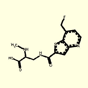 CNC(CNC(=O)c1cc2nccc(CF)c2s1)C(=O)O